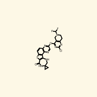 O=C1NC2(CC2)CNc2c1sc1ccc3nc(Oc4nc(Cl)nc5c4CN(C(F)F)CC5)cnc3c21